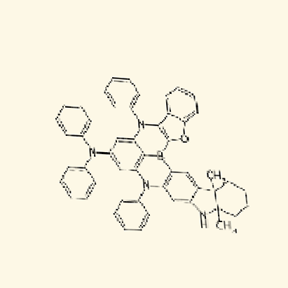 CC12CCCCC1(C)c1cc3c(cc1N2)N(c1ccccc1)c1cc(N(c2ccccc2)c2ccccc2)cc2c1B3c1oc3ccccc3c1N2c1ccccc1